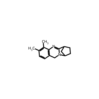 Cc1ccc2c(c1C)N=C1C3CCC(C3)N1C2